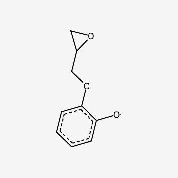 [O]c1ccccc1OCC1CO1